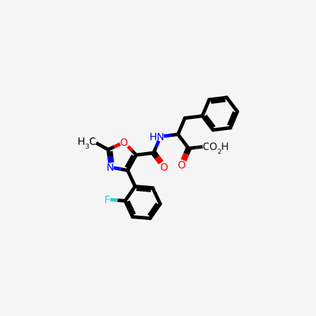 Cc1nc(-c2ccccc2F)c(C(=O)NC(Cc2ccccc2)C(=O)C(=O)O)o1